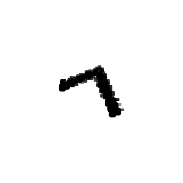 C[n+]1ccccc1.C[n+]1ccccc1.C[n+]1ccccc1.C[n+]1ccccc1.C[n+]1ccccc1.C[n+]1ccccc1.C[n+]1ccccc1.C[n+]1ccccc1.[O-]B([O-])F.[O-]B([O-])F.[O-]B([O-])F.[O-]B([O-])F